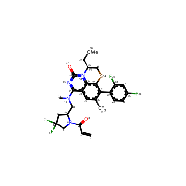 C=CC(=O)N1CC(F)(F)CC1CN(C)c1nc(=O)n2c3c(c(-c4ccc(F)cc4F)c(C(F)(F)F)cc13)SC[C@@H]2COC